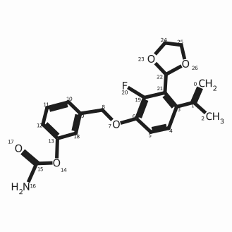 C=C(C)c1ccc(OCc2cccc(OC(N)=O)c2)c(F)c1C1OCCO1